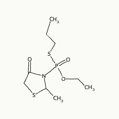 CCCSP(=O)(OCC)N1C(=O)CSC1C